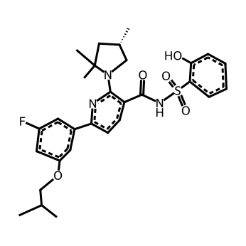 CC(C)COc1cc(F)cc(-c2ccc(C(=O)NS(=O)(=O)c3ccccc3O)c(N3C[C@@H](C)CC3(C)C)n2)c1